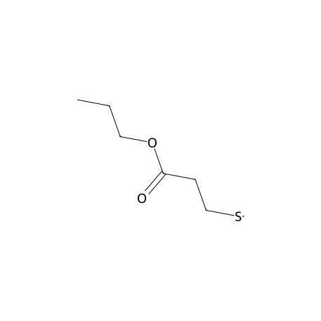 CCCOC(=O)CC[S]